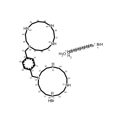 Br.Br.Br.Br.Br.Br.Br.Br.O.O.c1cc(CN2CCCNCCNCCCNCC2)ccc1CN1CCCNCCNCCCNCC1